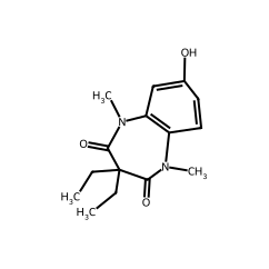 CCC1(CC)C(=O)N(C)c2ccc(O)cc2N(C)C1=O